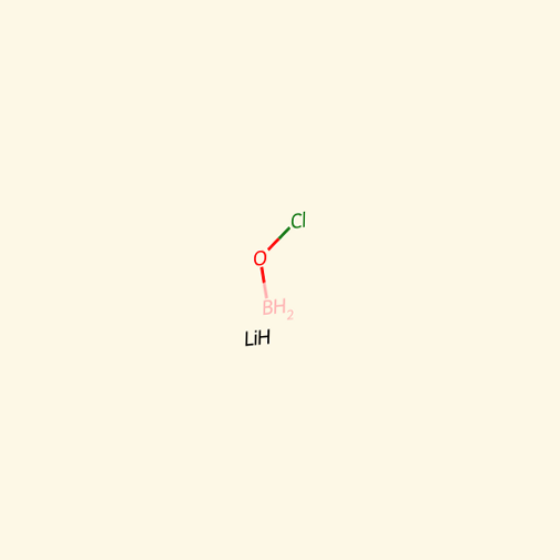 BOCl.[LiH]